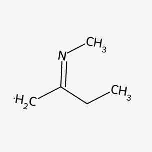 [CH2]C(CC)=NC